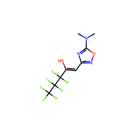 CN(C)c1nc(C=C(O)C(F)(F)C(F)(F)C(F)(F)F)no1